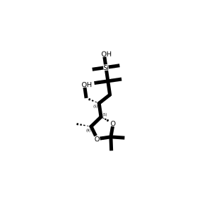 C[C@H]1OC(C)(C)O[C@H]1[C@H](CO)CC(C)(C)[Si](C)(C)O